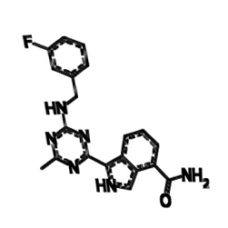 Cc1nc(NCc2cccc(F)c2)nc(-c2[nH]cc3c(C(N)=O)cccc23)n1